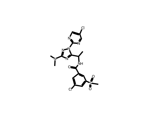 CC(NC(=O)c1cc(Cl)cc(S(C)(=O)=O)c1)c1nc(N(C)C)nn1-c1ncc(Cl)cn1